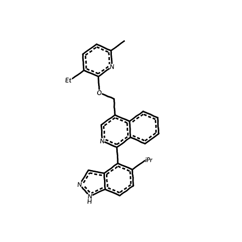 CCc1ccc(C)nc1OCc1cnc(-c2c(C(C)C)ccc3[nH]ncc23)c2ccccc12